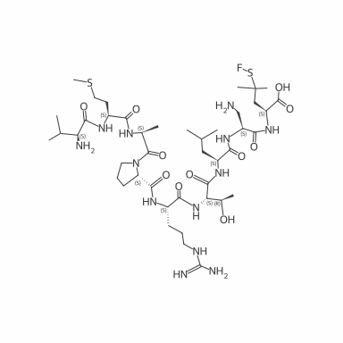 CSCC[C@H](NC(=O)[C@@H](N)C(C)C)C(=O)N[C@@H](C)C(=O)N1CCC[C@H]1C(=O)N[C@@H](CCCNC(=N)N)C(=O)N[C@H](C(=O)N[C@@H](CC(C)C)C(=O)N[C@@H](CN)C(=O)N[C@@H](CC(C)(C)SF)C(=O)O)[C@@H](C)O